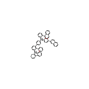 C1=Cc2c(n(-c3cccc(-c4ccc(N(c5ccc(-c6ccc7ccccc7c6)cc5)c5ccccc5-c5cccc6ccccc56)cc4)c3-c3ccccc3)c3ccccc23)CC1